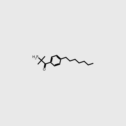 CCCCCCCc1ccc(C(=O)C(C)(C)P)cc1